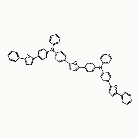 c1ccc(-c2ccc(-c3ccc(N(c4ccccc4)c4ccc(-c5ccc(-c6ccc(N(c7ccccc7)c7ccc(-c8ccc(-c9ccccc9)s8)cc7)cc6)s5)cc4)cc3)s2)cc1